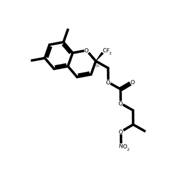 Cc1cc(C)c2c(c1)C=C[C@](COC(=O)OCC(C)O[N+](=O)[O-])(C(F)(F)F)O2